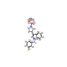 CC(C)(C)OC(=O)N1CCC(c2cn(Cc3cccc(F)c3)c3ccccc23)C1